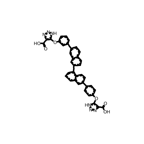 O=C(O)c1nn[nH]c1Oc1ccc(-c2ccc3c(-c4ccc5ccc(-c6cccc(Oc7[nH]nnc7C(=O)O)c6)cc5c4)cccc3c2)cc1